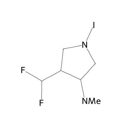 CNC1CN(I)CC1C(F)F